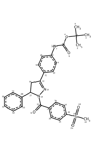 CC(C)(C)OC(=O)Nc1ccc(C2=NN(C(=O)c3ccc(S(C)(=O)=O)cc3)C(c3ccccc3)C2)cc1